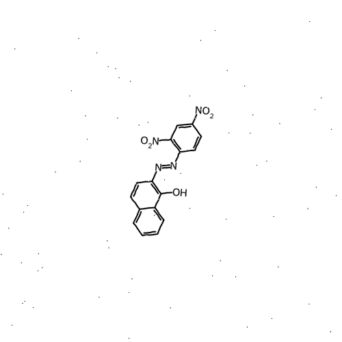 O=[N+]([O-])c1ccc(N=Nc2ccc3ccccc3c2O)c([N+](=O)[O-])c1